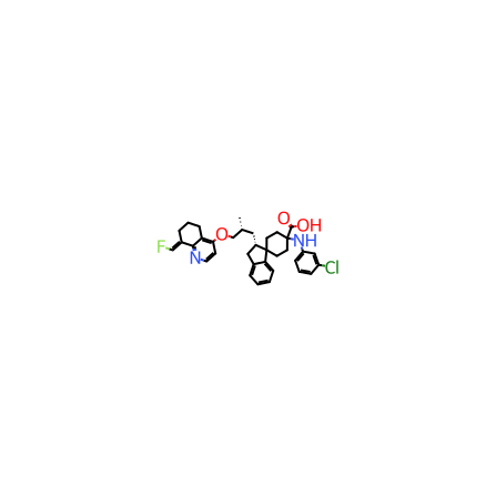 C[C@@H](COc1ccnc2c1CCC/C2=C\F)C[C@H]1Cc2ccccc2C12CCC(Nc1cccc(Cl)c1)(C(=O)O)CC2